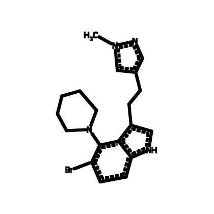 Cn1cc(CCc2c[nH]c3ccc(Br)c(N4CCCCC4)c23)cn1